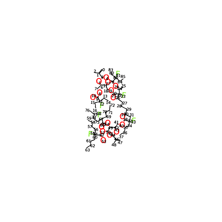 C=C(C)C(=O)OC(COC(=O)C(F)(CC)CC)C(COC(=O)C(F)(CC)CCCCCCC(F)(CCCC)C(=O)OCC(OC(=O)C(=C)C)C(COC(=O)C(F)(CCCC)CCCC)OC(=O)C(F)(CCCC)CCCC)OC(=O)C(F)(CC)CC